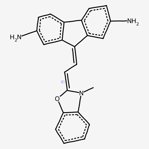 CN1/C(=C\C=C2c3cc(N)ccc3-c3ccc(N)cc32)Oc2ccccc21